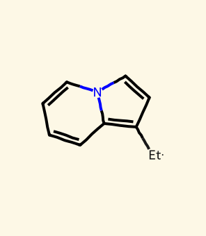 C[CH]c1ccn2ccccc12